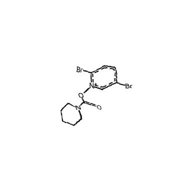 O=C(O[n+]1cc(Br)ccc1Br)N1CCCCC1